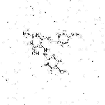 Cc1ccc(C=Nc2nc(S)nc(O)c2N=Cc2ccc(C)cc2)cc1